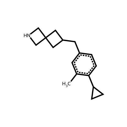 Cc1cc(CC2CC3(CNC3)C2)ccc1C1CC1